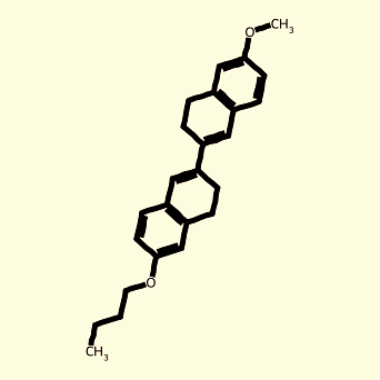 CCCCOc1ccc2c(c1)CCC(C1=Cc3ccc(OC)cc3CC1)=C2